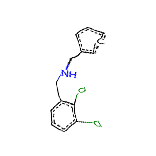 Clc1cccc(CNCc2ccccc2)c1Cl